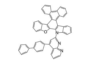 c1ccc(-c2ccc(-c3cc(-n4c5ccccc5c5c6c7ccccc7c7ccccc7c6c6c7ccccc7oc6c54)nc4ncccc34)cc2)cc1